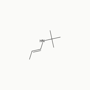 CC=CNC(C)(C)C